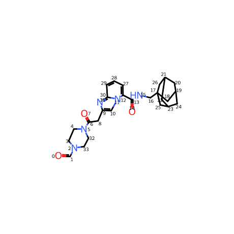 O=CN1CCN(C(=O)Cc2cn3c(C(=O)NCC45CC6CC(CC(C6)C4)C5)cccc3n2)CC1